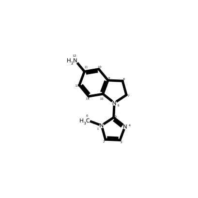 Cn1ccnc1N1CCc2cc(N)ccc21